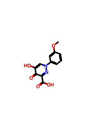 COc1cccc(-n2cc(O)c(=O)c(C(=O)O)n2)c1